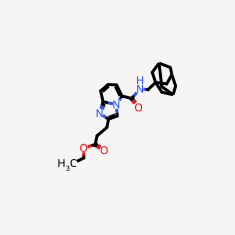 CCOC(=O)CCc1cn2c(C(=O)NCC34CC5CC(CC(C5)C3)C4)cccc2n1